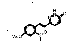 COc1ccc(C=Cc2ccc(=O)[nH]n2)c([S+](C)[O-])c1